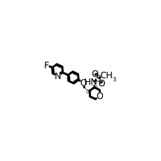 CS(=O)(=O)N[C@H]1COCC[C@@H]1COc1ccc(-c2ccc(F)cn2)cc1